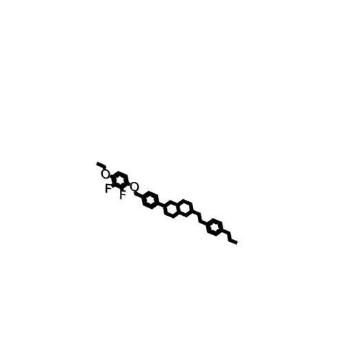 CCCc1ccc(CCC2CCC3CC(c4ccc(COc5ccc(OCC)c(F)c5F)cc4)CCC3C2)cc1